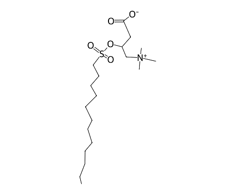 CCCCCCCCCCCCS(=O)(=O)OC(CC(=O)[O-])C[N+](C)(C)C